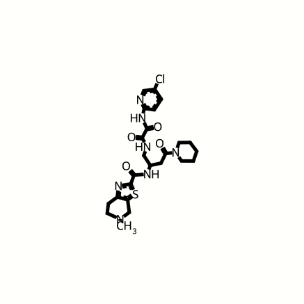 CN1CCc2nc(C(=O)NC(CNC(=O)C(=O)Nc3ccc(Cl)cn3)CC(=O)N3CCCCC3)sc2C1